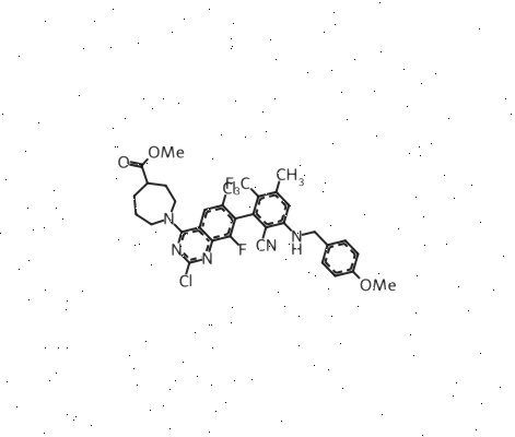 COC(=O)C1CCCN(c2nc(Cl)nc3c(F)c(-c4c(C#N)c(NCc5ccc(OC)cc5)cc(C)c4C(F)(F)F)c(Cl)cc23)CC1